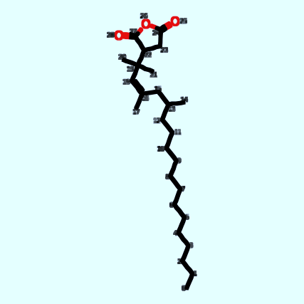 CCCCCCCCCCCCCC(C)CC(C)=CC(C)(C)C1CC(=O)OC1=O